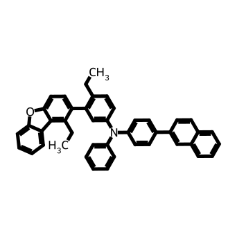 CCc1ccc(N(c2ccccc2)c2ccc(-c3ccc4ccccc4c3)cc2)cc1-c1ccc2oc3ccccc3c2c1CC